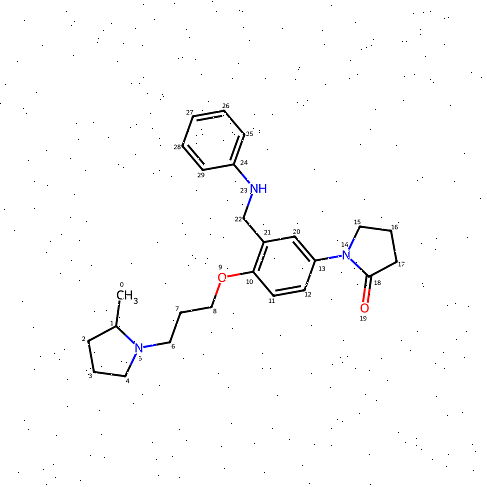 CC1CCCN1CCCOc1ccc(N2CCCC2=O)cc1CNc1ccccc1